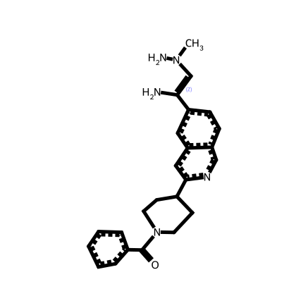 CN(N)/C=C(\N)c1ccc2cnc(C3CCN(C(=O)c4ccccc4)CC3)cc2c1